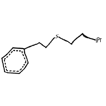 CC(C)CCSCCc1ccccc1